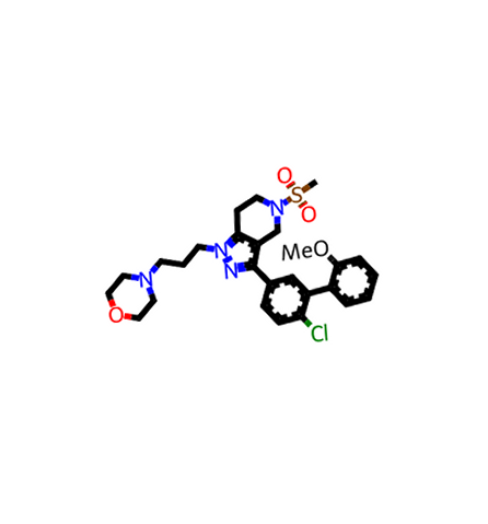 COc1ccccc1-c1cc(-c2nn(CCCN3CCOCC3)c3c2CN(S(C)(=O)=O)CC3)ccc1Cl